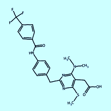 CSc1nc(Cc2ccc(NC(=O)c3ccc(C(F)(F)F)cc3)cc2)nc(N(C)C)c1CC(=O)O